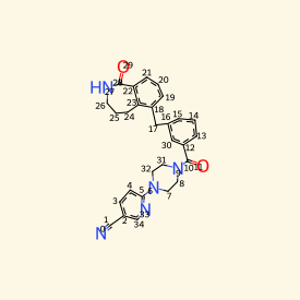 N#Cc1ccc(N2CCN(C(=O)c3cccc(Cc4cccc5c4CCCNC5=O)c3)CC2)nc1